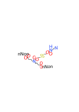 CCCCCCCCCOC(=O)CCCN(CCCC(=O)OCCCCCCCCC)C(=O)OCCSSCCOC(=O)NCCN(C)C